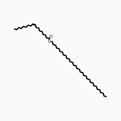 CCCCCCCC/C=C\CCCCCCCC(=O)OCCCCCCCCCCCCCCCCCCCCCCCCCCCCCCCCC